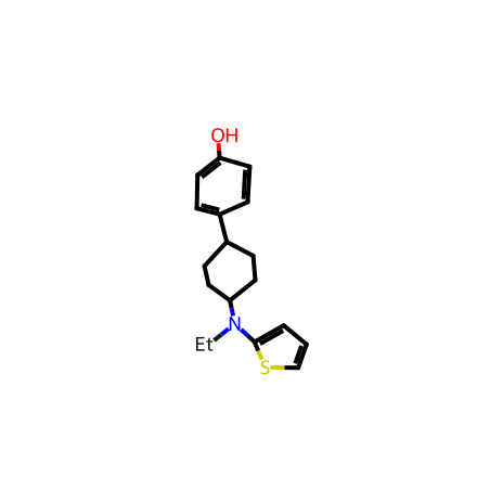 CCN(c1cccs1)C1CCC(c2ccc(O)cc2)CC1